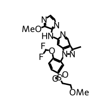 COCCS(=O)(=O)c1ccc(OC(F)F)c(-n2nc(C)c3cnc(Nc4nccnc4OC)cc32)c1